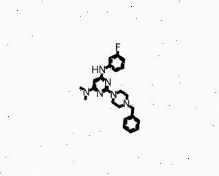 CN(C)c1cc(Nc2cccc(F)c2)nc(N2CCN(Cc3ccccc3)CC2)n1